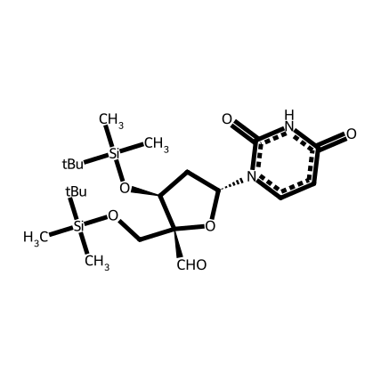 CC(C)(C)[Si](C)(C)OC[C@@]1(C=O)O[C@@H](n2ccc(=O)[nH]c2=O)C[C@@H]1O[Si](C)(C)C(C)(C)C